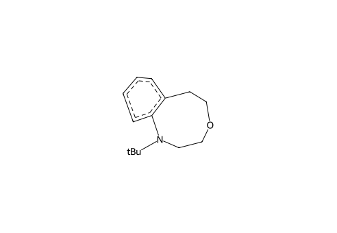 CC(C)(C)N1CCOCCc2ccccc21